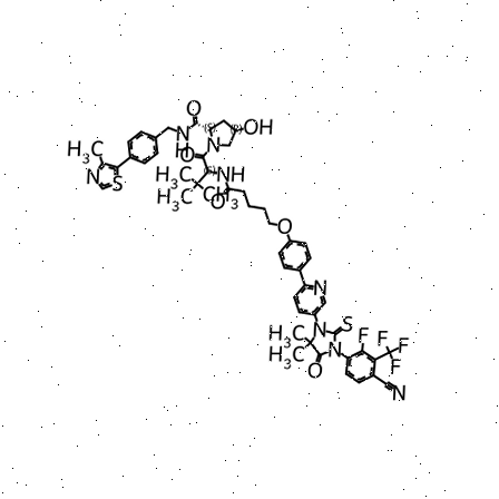 Cc1ncsc1-c1ccc(CNC(=O)[C@@H]2C[C@@H](O)CN2C(=O)[C@@H](NC(=O)CCCCOc2ccc(-c3ccc(N4C(=S)N(c5ccc(C#N)c(C(F)(F)F)c5F)C(=O)C4(C)C)cn3)cc2)C(C)(C)C)cc1